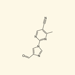 Cc1nc(-n2cnc(C=O)c2)ncc1C#N